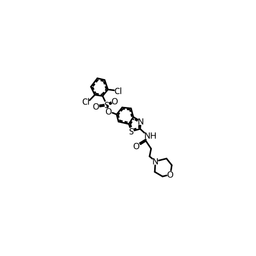 O=C(CCN1CCOCC1)Nc1nc2ccc(OS(=O)(=O)c3c(Cl)cccc3Cl)cc2s1